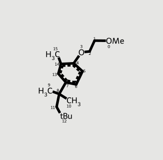 COCCOc1ccc(C(C)(C)CC(C)(C)C)cc1C